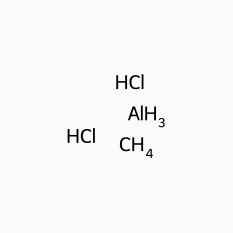 C.Cl.Cl.[AlH3]